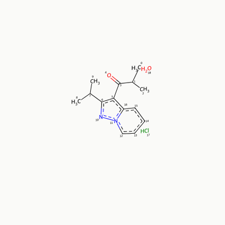 CC(C)C(=O)c1c(C(C)C)nn2ccccc12.Cl.O